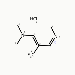 C/N=C\C(=CN(C)C)C(F)(F)F.Cl